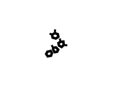 Cc1cccc(C)c1.Cc1ccccc1.Cc1ccccc1C.c1ccccc1